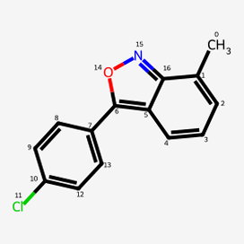 Cc1cccc2c(-c3ccc(Cl)cc3)onc12